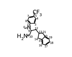 CN(c1ccc(C(F)(F)F)cc1)C(CN)CC1Cc2ccccc2C1